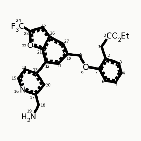 CCOC(=O)Cc1ccccc1OCc1cc(-c2ccnc(CN)c2)c2oc(C(F)(F)F)cc2c1